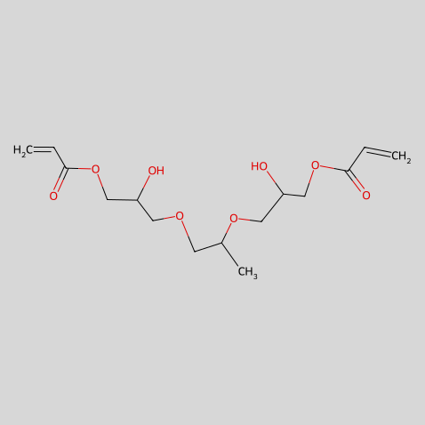 C=CC(=O)OCC(O)COCC(C)OCC(O)COC(=O)C=C